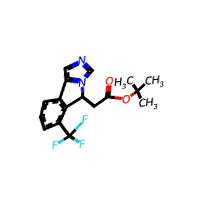 CC(C)(C)OC(=O)CC1c2c(cccc2C(F)(F)F)-c2cncn21